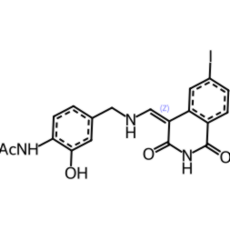 CC(=O)Nc1ccc(CN/C=C2\C(=O)NC(=O)c3ccc(I)cc32)cc1O